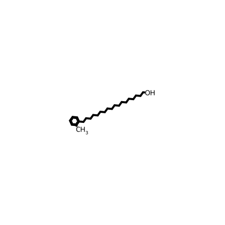 Cc1ccccc1CCCCCCCCCCCCCCCCCCO